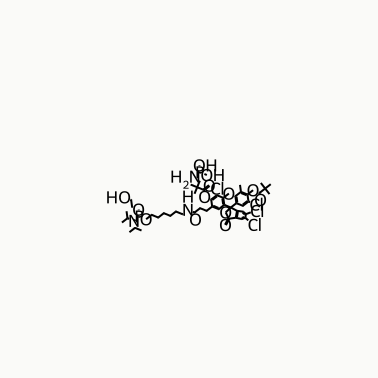 Cc1c(OC(=O)C(C)(C)C)c(Cl)cc2c1Oc1c(cc(CCC(=O)NCCCCCCOP(OCCO)N(C(C)C)C(C)C)c(OC(=O)C(C)(C)C)c1Cl)C21OC(=O)c2cc(Cl)c(Cl)cc21.NP(O)O